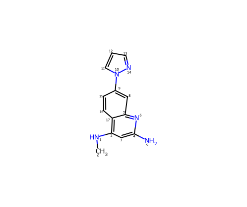 CNc1cc(N)nc2cc(-n3cccn3)ccc12